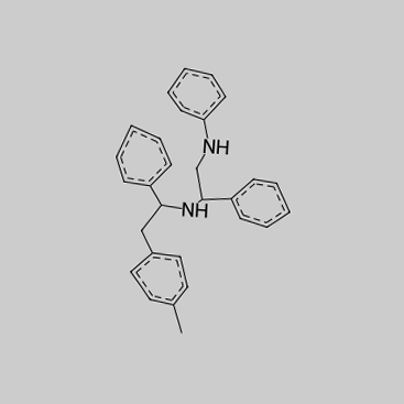 Cc1ccc(CC(NC(CNc2ccccc2)c2ccccc2)c2ccccc2)cc1